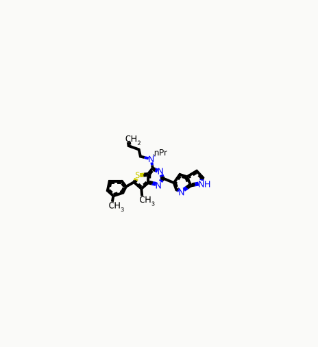 C=CCCN(CCC)c1nc(-c2cnc3[nH]ccc3c2)nc2c(C)c(-c3cccc(C)c3)sc12